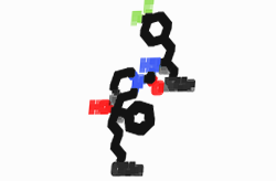 CNC[C@H](CC1CCC(F)(F)CC1)NC(=O)N1CCC[C@@H]([C@@](O)(CCCCOC)c2ccccc2)C1